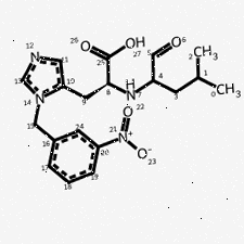 CC(C)CC(C=O)N[C@@H](Cc1cncn1Cc1cccc([N+](=O)[O-])c1)C(=O)O